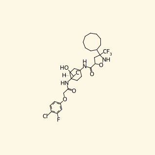 O=C(COc1ccc(Cl)c(F)c1)NC12CCC(NC(=O)C3CC(C4CCCCCCCC4)(C(F)(F)F)NO3)(CC1)C[C@@H]2O